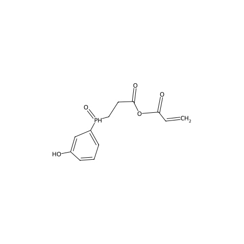 C=CC(=O)OC(=O)CC[PH](=O)c1cccc(O)c1